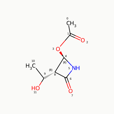 CC(=O)O[C@H]1NC(=O)[C@@H]1C(C)O